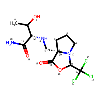 CC(O)[C@H](NC[C@]12CCCN1C(C(Cl)(Cl)Cl)OC2=O)C(N)=O